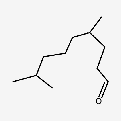 C[C](CCC=O)CCCC(C)C